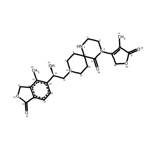 CC1=C(N2CCNC3(CCN(C[C@H](O)c4ccc5c(c4C)COC5=O)CC3)C2=O)COC1=O